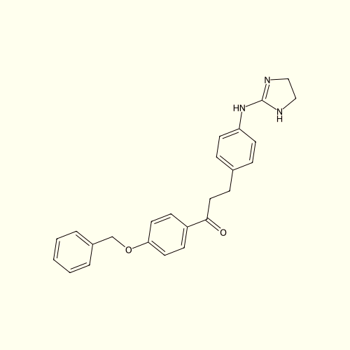 O=C(CCc1ccc(NC2=NCCN2)cc1)c1ccc(OCc2ccccc2)cc1